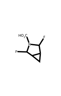 O=C(O)N1C(F)C2CC2C1F